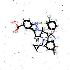 O=C(O)c1ccc2nn3c(c2c1)C[C@H]1[C@@H]3[C@H](c2cccc(Cl)c2F)[C@]2(C(=O)Nc3cc(Cl)ccc32)N1CC1CC1